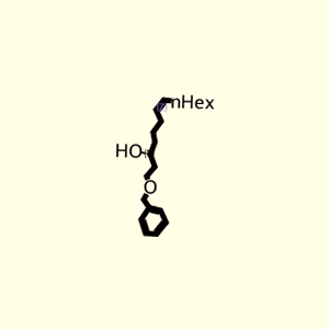 CCCCCC/C=C\CCC[C@@H](O)CCOCc1ccccc1